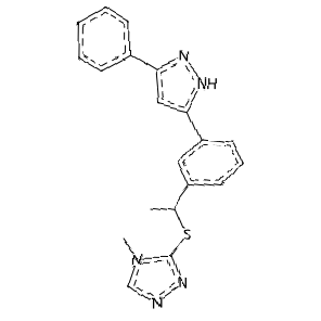 CC(Sc1nncn1C)c1cccc(-c2cc(-c3ccccc3)n[nH]2)c1